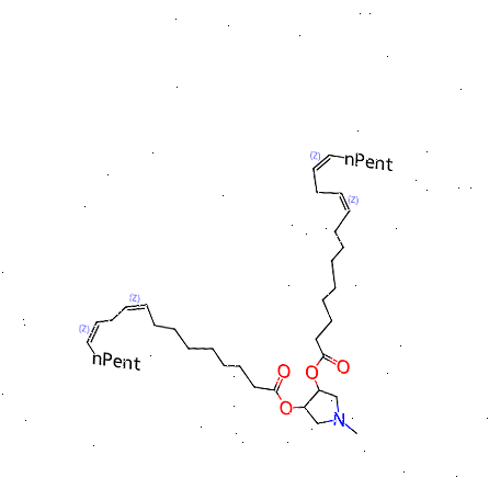 CCCCC/C=C\C/C=C\CCCCCCCC(=O)OC1CN(C)CC1OC(=O)CCCCCCC/C=C\C/C=C\CCCCC